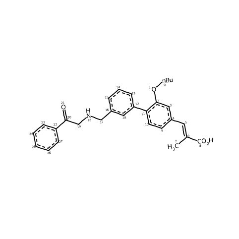 CCCCOc1cc(C=C(C)C(=O)O)ccc1-c1cccc(CNCC(=O)c2ccccc2)c1